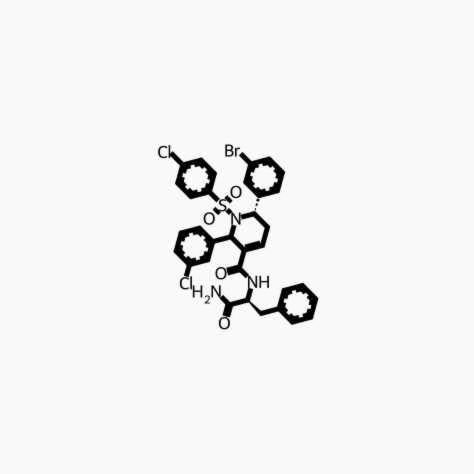 NC(=O)[C@H](Cc1ccccc1)NC(=O)C1=CC[C@@H](c2cccc(Br)c2)N(S(=O)(=O)c2ccc(Cl)cc2)C1c1cccc(Cl)c1